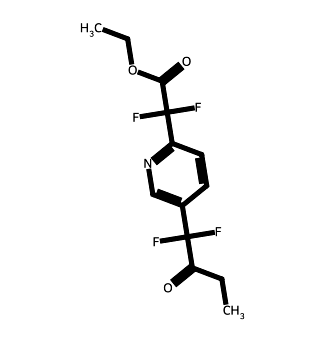 CCOC(=O)C(F)(F)c1ccc(C(F)(F)C(=O)CC)cn1